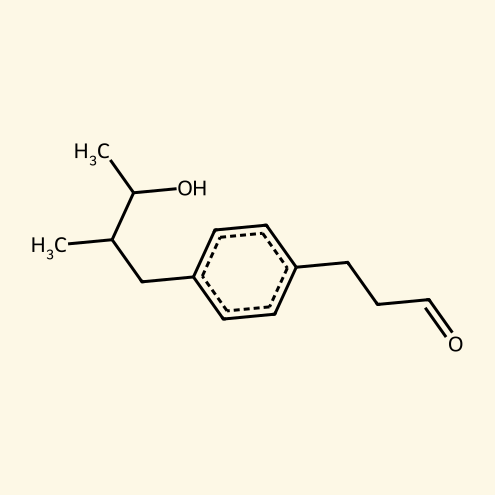 CC(O)C(C)Cc1ccc(CCC=O)cc1